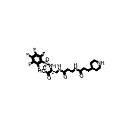 O=C(CCC1CCNCC1)NCCC(=O)NC[C@H](NS(=O)(=O)c1c(F)c(F)c(F)c(F)c1F)C(=O)O